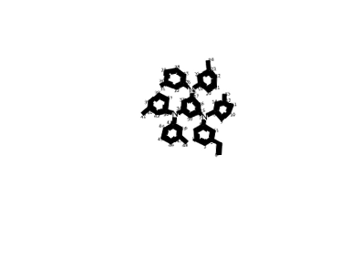 C=Cc1cccc(N(c2cccc(C)c2)c2cc(N(c3cccc(C)c3)c3cccc(C)c3)cc(N(c3cccc(C)c3)c3cccc(C)c3)c2)c1